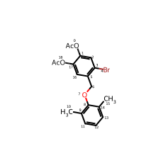 CC(=O)Oc1cc(Br)c(COc2c(C)cccc2C)cc1OC(C)=O